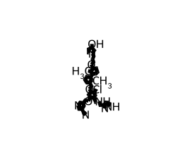 Cc1c(COc2cc(OCc3cncc(C#N)c3)c(CNCc3cc[nH]n3)cc2Cl)cccc1-c1cccc(OCCCN2CCC(O)C2)c1C